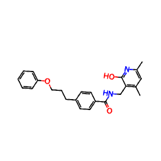 Cc1cc(C)c(CNC(=O)c2ccc(CCCOc3ccccc3)cc2)c(O)n1